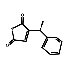 C[C@H](C1=CC(=O)NC1=O)c1ccccc1